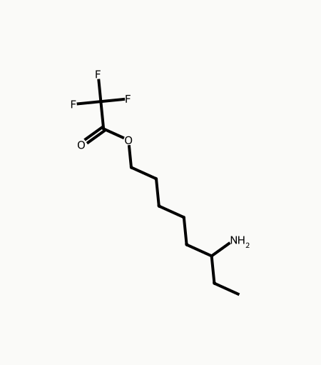 CCC(N)CCCCCOC(=O)C(F)(F)F